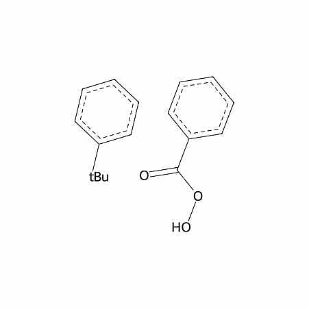 CC(C)(C)c1ccccc1.O=C(OO)c1ccccc1